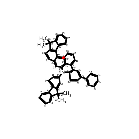 CC1(C)c2ccccc2-c2ccc(N(c3ccc4c5c(ccc4c3)C(C)(C)c3ccccc3-5)c3ccc(-c4ccccc4)cc3-c3ccccc3)cc21